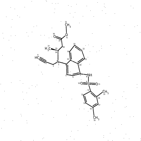 C#CCN(c1ccc(NS(=O)(=O)c2ccc(C)cc2C)c2ccccc12)[C@@H](C)CC(=O)OC